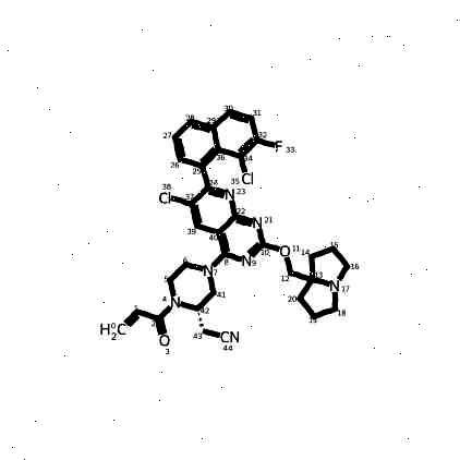 C=CC(=O)N1CCN(c2nc(OCC34CCCN3CCC4)nc3nc(-c4cccc5ccc(F)c(Cl)c45)c(Cl)cc23)C[C@@H]1CC#N